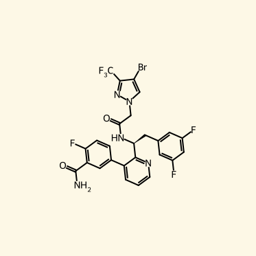 NC(=O)c1cc(-c2cccnc2[C@H](Cc2cc(F)cc(F)c2)NC(=O)Cn2cc(Br)c(C(F)(F)F)n2)ccc1F